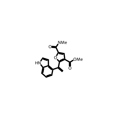 C=C(c1oc(C(=O)NC)cc1C(=O)OC)c1cccc2[nH]ccc12